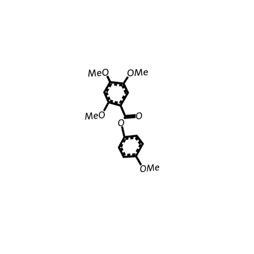 COc1ccc(OC(=O)c2cc(OC)c(OC)cc2OC)cc1